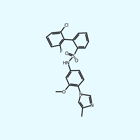 COc1cc(NS(=O)(=O)c2ccccc2-c2c(F)cccc2Cl)ccc1-n1cnc(C)c1